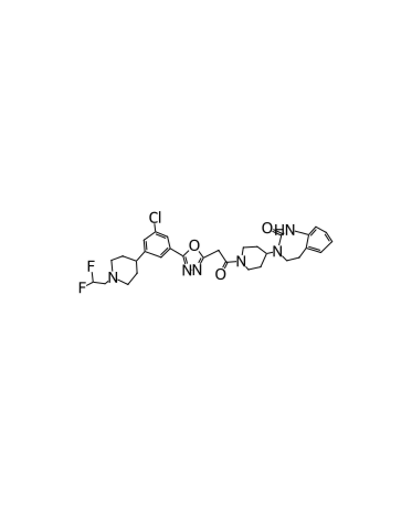 O=C(Cc1nnc(-c2cc(Cl)cc(C3CCN(CC(F)F)CC3)c2)o1)N1CCC(N2CCc3ccccc3NC2=O)CC1